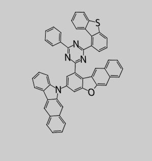 c1ccc(-c2nc(-c3cc(-n4c5ccccc5c5cc6ccccc6cc54)cc4oc5cc6ccccc6cc5c34)nc(-c3cccc4sc5ccccc5c34)n2)cc1